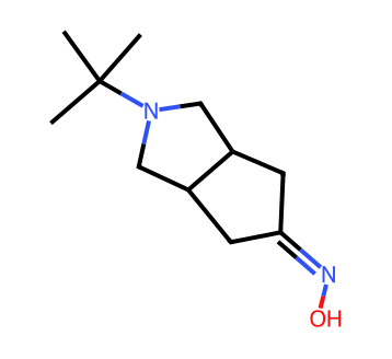 CC(C)(C)N1CC2CC(=NO)CC2C1